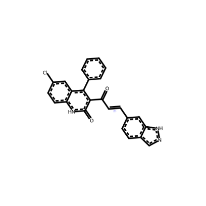 O=C(/C=C/c1ccc2cn[nH]c2c1)c1c(-c2ccccc2)c2cc(Cl)ccc2[nH]c1=O